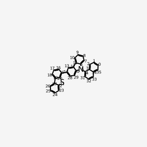 c1ccc2c(-n3c4ccccc4c4cc(-c5cccc6c5sc5ccccc56)ccc43)cccc2c1